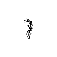 O=C(Nc1ccc(Oc2ccnc(NC(=O)N3CCOCC3)c2)c(F)c1)c1cn(-c2ccc(F)c(Cl)c2)nn1